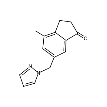 Cc1cc(Cn2cccn2)cc2c1CCC2=O